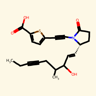 CCC#CCC(C)C(O)/C=C/[C@H]1CCC(=O)N1C#Cc1ccc(C(=O)O)s1